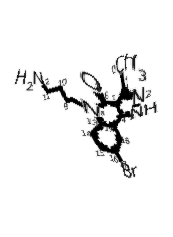 Cc1n[nH]c2c1c(=O)n(CCCN)c1ccc(Br)cc21